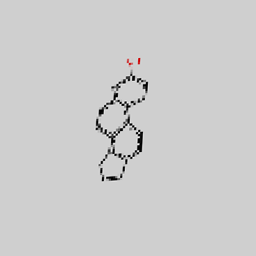 Oc1ccc2c(ccc3c4c(ccc32)C=CC4)c1